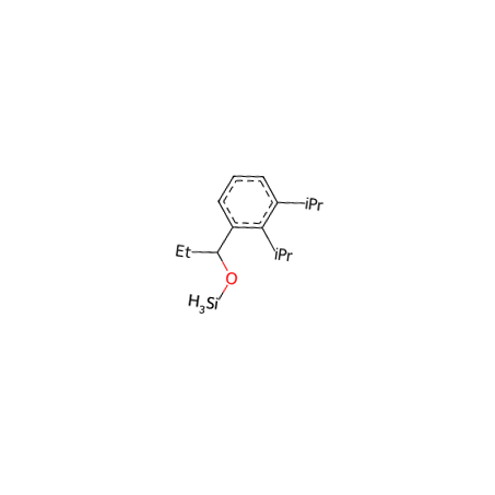 CCC(O[SiH3])c1cccc(C(C)C)c1C(C)C